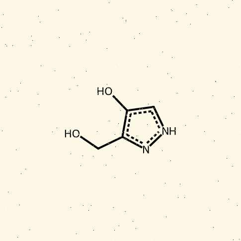 OCc1n[nH]cc1O